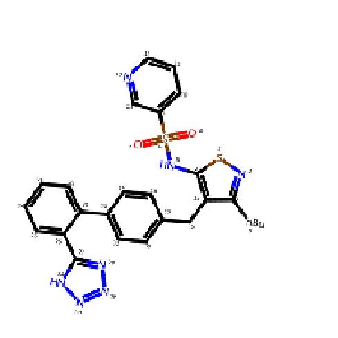 CCCCc1nsc(NS(=O)(=O)c2cccnc2)c1Cc1ccc(-c2ccccc2-c2nnn[nH]2)cc1